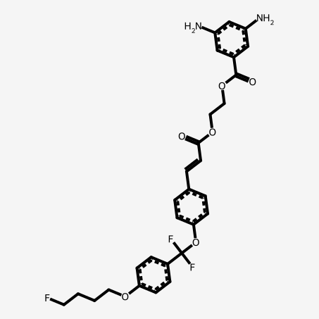 Nc1cc(N)cc(C(=O)OCCOC(=O)C=Cc2ccc(OC(F)(F)c3ccc(OCCCCF)cc3)cc2)c1